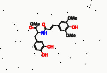 COC(=O)C(Cc1ccc(O)c(O)c1)NC(=O)C=Cc1cc(OC)c(O)c(OC)c1